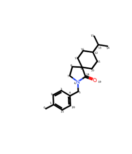 Cc1ccc(CN2CCC3(CCC(C(C)C)CC3)C2=O)cc1